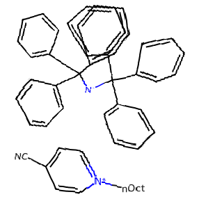 CCCCCCCC[n+]1ccc(C#N)cc1.c1ccc(C([N-]C(c2ccccc2)(c2ccccc2)c2ccccc2)(c2ccccc2)c2ccccc2)cc1